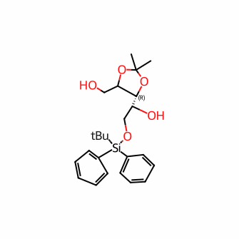 CC1(C)OC(CO)[C@@H](C(O)CO[Si](c2ccccc2)(c2ccccc2)C(C)(C)C)O1